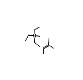 CC=C(C)C.CC[N+](C)(CC)CC